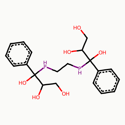 OCC(O)C(O)(PCCPC(O)(c1ccccc1)C(O)CO)c1ccccc1